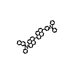 c1ccc(N(c2ccccc2)c2ccc(-c3ccc4ccc5c(-c6ccc7ccc8c(N(c9ccccc9)c9ccc%10ccccc%10c9)ccc9ccc6c7c98)ccc6ccc3c4c65)cc2)cc1